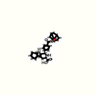 O=C(NC12CC3CC(CC(C3)C1)C2)c1ccc([C@H]2N[C@@H](C(=O)O)Cc3c2[nH]c2ccccc32)cc1